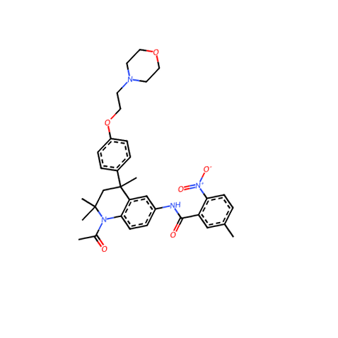 CC(=O)N1c2ccc(NC(=O)c3cc(C)ccc3[N+](=O)[O-])cc2C(C)(c2ccc(OCCN3CCOCC3)cc2)CC1(C)C